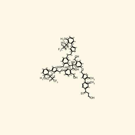 CCC(CCO)c1ccc(-c2cc(COc3ccc(CO)c(C(O)(C(O)c4cc(CCc5cc(-c6cccc(C)c6C(O)(F)C(F)(F)C(F)(F)F)cs5)ccc4CO)C(O)c4cc(OCc5cc(-c6cccc(C)c6C(O)(F)C(F)(F)C(F)(F)F)cs5)ccc4CO)c3)sc2C)c(C)c1